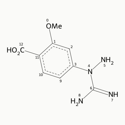 COc1cc(N(N)C(=N)N)ccc1C(=O)O